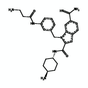 N=C(N)c1ccc2cc(C(=O)N[C@H]3CC[C@H](N)CC3)n(Cc3cccc(NC(=O)CCN)c3)c2c1